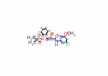 COc1cc(Cl)nc(NC(=O)NS(=O)(=O)c2ccccc2OS(=O)(=O)N(C)C)n1